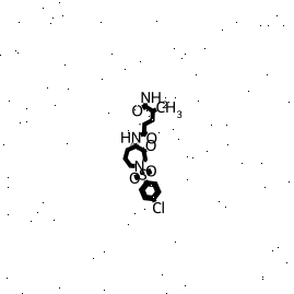 CC(C[CH]C(=O)N[C@H]1CCCN(S(=O)(=O)c2ccc(Cl)cc2)CC1=O)C(N)=O